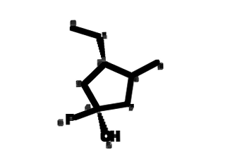 CC[C@H]1C[C@](O)(F)CC1C